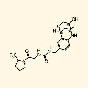 O=C(NCC(=O)N1CCCC1C(F)(F)F)NCc1ccc2c(c1)[C@@H]1C[C@@H](N2)[C@H](O)CO1